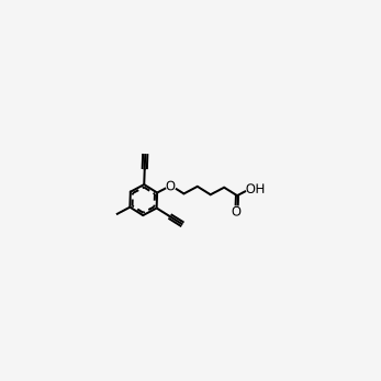 C#Cc1cc(C)cc(C#C)c1OCCCCC(=O)O